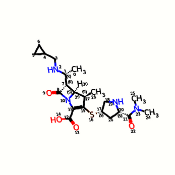 C[C@@H](NCC1CC1)[C@H]1C(=O)N2C(C(=O)O)=C(S[C@@H]3CN[C@H](C(=O)N(C)C)C3)[C@H](C)[C@H]12